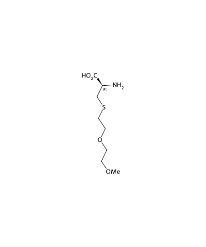 COCCOCCSC[C@H](N)C(=O)O